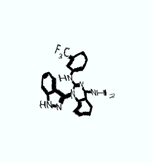 NC1N=C(Nc2cccc(C(F)(F)F)c2)N(c2n[nH]c3ccccc23)c2ccccc21